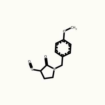 COc1ccc(CN2CCC([S]=O)C2=O)cc1